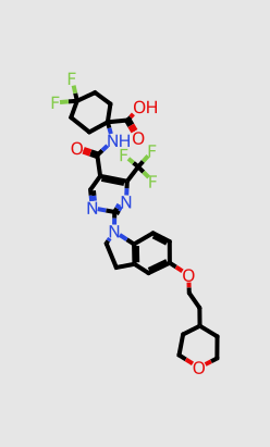 O=C(NC1(C(=O)O)CCC(F)(F)CC1)c1cnc(N2CCc3cc(OCCC4CCOCC4)ccc32)nc1C(F)(F)F